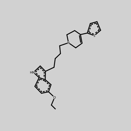 CCOc1ccc2[nH]cc(CCCCN3CC=C(c4cccs4)CC3)c2c1